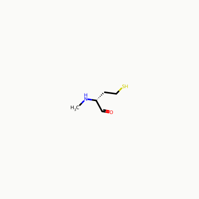 CN[C@@H](C=O)CCS